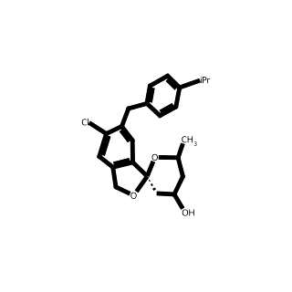 CC1CC(O)C[C@@]2(OCc3cc(Cl)c(Cc4ccc(C(C)C)cc4)cc32)O1